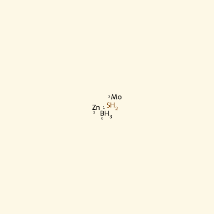 B.S.[Mo].[Zn]